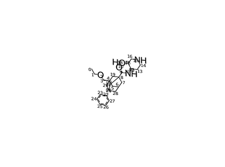 CCOC[C@]12CC3CC(C(=O)N[C@@H]4CCNC[C@H]4O)(C1)C[C@@](c1ccccc1)(C3)C2